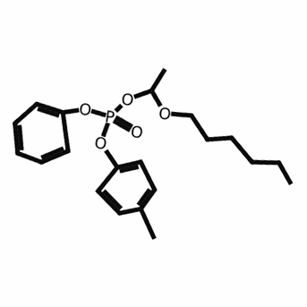 CCCCCCOC(C)OP(=O)(Oc1ccccc1)Oc1ccc(C)cc1